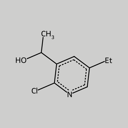 CCc1cnc(Cl)c(C(C)O)c1